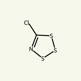 ClC1=NSSS1